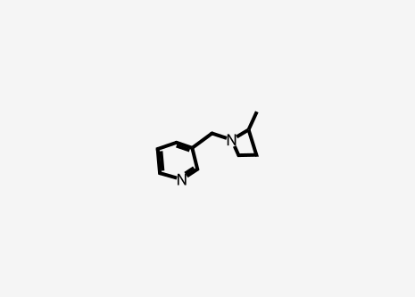 CC1CCN1Cc1cccnc1